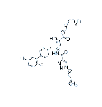 C=CCOn1cc(C(=O)N[C@H](Cc2ccc(-c3cc(Cl)ccc3F)cc2)C[C@@H](O)C(=O)OCOC(=O)OCC)nn1